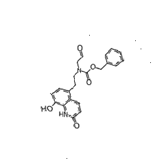 O=CCN(CCc1ccc(O)c2[nH]c(=O)ccc12)C(=O)OCc1ccccc1